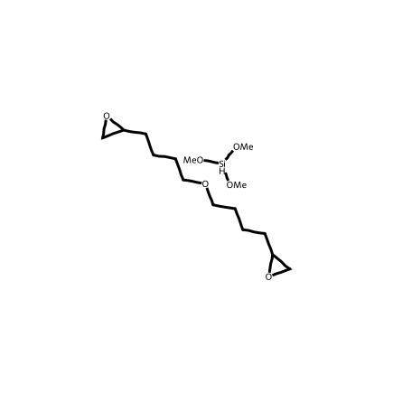 C(CCC1CO1)COCCCCC1CO1.CO[SiH](OC)OC